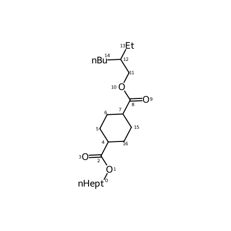 CCCCCCCOC(=O)C1CCC(C(=O)OCC(CC)CCCC)CC1